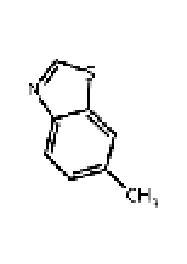 Cc1ccc2n[c]sc2c1